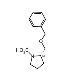 O=C(O)N1CCC[C@H]1COCc1ccccc1